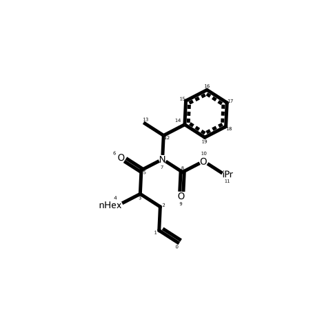 C=CCC(CCCCCC)C(=O)N(C(=O)OC(C)C)C(C)c1ccccc1